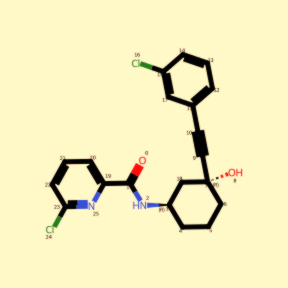 O=C(N[C@@H]1CCC[C@](O)(C#Cc2cccc(Cl)c2)C1)c1cccc(Cl)n1